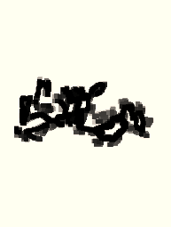 COC[C@@H](C)Oc1nc(N)c2c(n1)N(Cc1cccc(CN3CCCC3)c1)CC(=O)N2